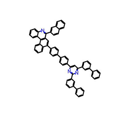 c1ccc(-c2cccc(-c3cc(-c4ccc(-c5ccc(-c6cc7c(-c8ccc9ccccc9c8)nc8ccccc8c7c7ccccc67)cc5)cc4)nc(-c4cccc(-c5ccccc5)c4)n3)c2)cc1